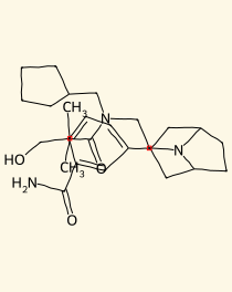 CC(C)(CO)C(=O)N(CCN1C2CCC1CC(c1cccc(C(N)=O)c1)C2)CC1CCCC1